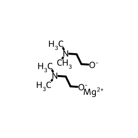 CN(C)CC[O-].CN(C)CC[O-].[Mg+2]